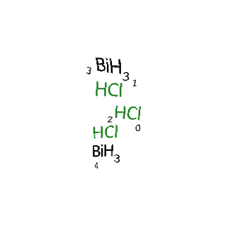 Cl.Cl.Cl.[BiH3].[BiH3]